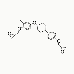 Cc1cc(OC2CCC(c3ccc(OCC4CO4)cc3)CC2)ccc1OCC1CO1